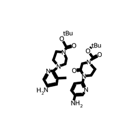 CC(C)(C)OC(=O)N1CCN(c2ccc(N)cn2)C(=O)C1.Cc1cc(N)cnc1N1CCN(C(=O)OC(C)(C)C)CC1